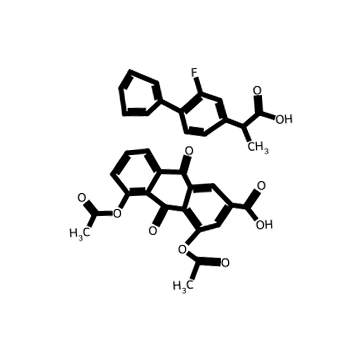 CC(=O)Oc1cccc2c1C(=O)c1c(OC(C)=O)cc(C(=O)O)cc1C2=O.CC(C(=O)O)c1ccc(-c2ccccc2)c(F)c1